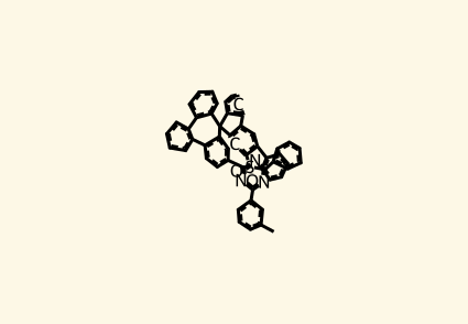 Cc1cccc(-c2nc(-c3ccccc3)nc(-c3ccc4c(c3)C3(c5ccccc5-c5ccccc5-4)c4ccccc4-c4cc5c(cc43)S(=O)(=O)c3ccccc3-5)n2)c1